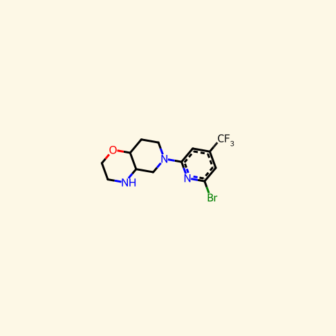 FC(F)(F)c1cc(Br)nc(N2CCC3OCCNC3C2)c1